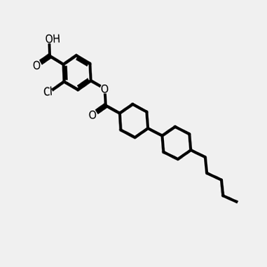 CCCCCC1CCC(C2CCC(C(=O)Oc3ccc(C(=O)O)c(Cl)c3)CC2)CC1